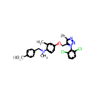 Cc1cc(OCc2c(C(C)C)nnn2-c2c(Cl)cccc2Cl)ccc1N(C)Cc1ccc(C(=O)O)cc1